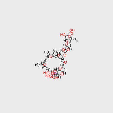 C=C1C[C@@H]2CC[C@]34OC([C@@H]5O[C@H]6CC[C@H](CC(=O)C[C@@H]7CC8OC9C[C@]%10(C[C@@H]%11O[C@@]%12(CC[C@@H]%11O%10)C[C@H](C)[C@@H]%10O[C@H](CC(=O)O)[C@H](O)C[C@@H]%10O%12)O[C@@H]9C[C@@H]8O[C@H]7C[C@H]7O[C@@H](CC[C@@H]1O2)C[C@@H](C)C7=C)O[C@@H]6[C@H](O3)[C@@H]5I)C(O)(O)C4O